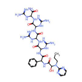 CCCN(c1ncccn1)C(O)C(=O)NC(C(=O)NC(NC(=N)N)C(=O)NC(NC(=N)N)C(=O)NC(NC(=N)N)C(=O)NC(NC(=N)N)C(N)=O)c1ccccc1